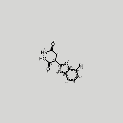 O=C(S)CC(C(=O)O)c1nc2cccc(Br)c2o1